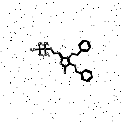 CC(C)(C)[Si](C)(C)OC/C=C1\OC(=O)C(OCc2ccccc2)=C1OCc1ccccc1